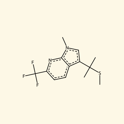 CSC(C)(C)c1cn(C)c2nc(C(F)(F)F)ccc12